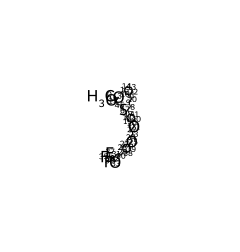 COC(=O)CCSC(CCCc1ccccc1)c1ccc(OCCCOc2ccc(CCC(=O)C(F)(F)F)cc2)cc1